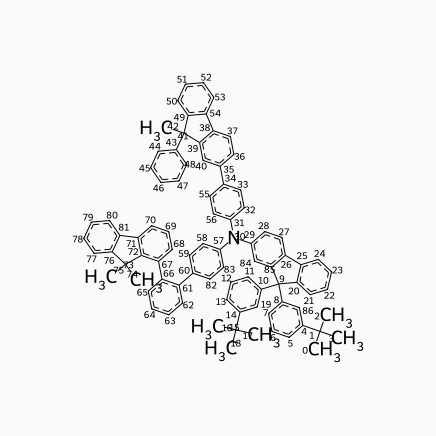 CC(C)(C)c1cccc(C2(c3cccc(C(C)(C)C)c3)c3ccccc3-c3ccc(N(c4ccc(-c5ccc6c(c5)C(C)(c5ccccc5)c5ccccc5-6)cc4)c4ccc(-c5ccccc5-c5cccc6c5C(C)(C)c5ccccc5-6)cc4)cc32)c1